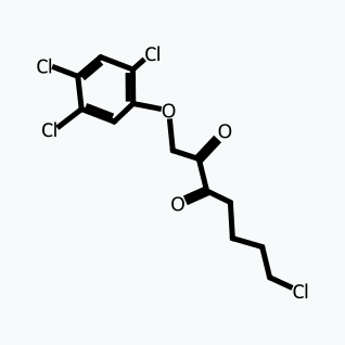 O=C(CCCCCl)C(=O)COc1cc(Cl)c(Cl)cc1Cl